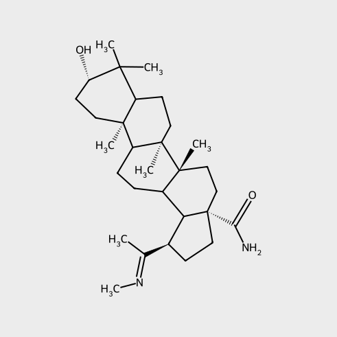 C/N=C(\C)[C@@H]1CC[C@]2(C(N)=O)CC[C@]3(C)C(CCC4[C@@]5(C)CC[C@H](O)C(C)(C)C5CC[C@]43C)C12